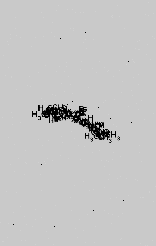 COC(=O)N[C@H](C(=O)N1CCC[C@H]1c1ncc(-c2ccc(-c3ccc(-c4ccc5c(=O)[nH]c([C@@H]6CCCN6C(=O)[C@@H](NC(=O)OC)C(C)C)nc5c4)c4c3C3CC(F)(F)C3C4)cc2)[nH]1)C(C)C